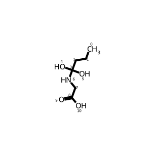 CCCC(O)(O)NCC(=O)O